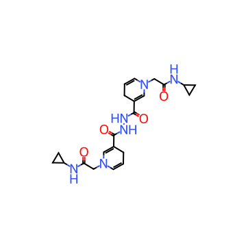 O=C(CN1C=CCC(C(=O)NNC(=O)C2=CN(CC(=O)NC3CC3)C=CC2)=C1)NC1CC1